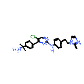 Cc1nccn1CCc1ccc(Nc2ncc(Cl)c(-c3ccc(C(C)(C)N)cc3)n2)cc1